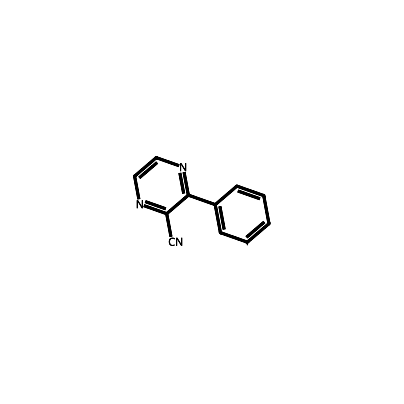 N#Cc1nccnc1-c1c[c]ccc1